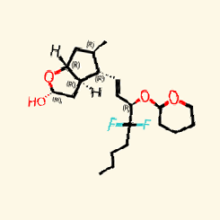 CCCCC(F)(F)[C@@H](C=C[C@@H]1[C@H]2C[C@H](O)O[C@@H]2C[C@H]1C)OC1CCCCO1